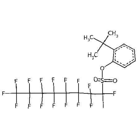 CC(C)(C)c1ccccc1OS(=O)(=O)C(F)(I)C(F)(F)C(F)(F)C(F)(F)C(F)(F)C(F)(F)C(F)(F)C(F)(F)F